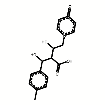 Cc1ccc(C(O)C(C(=O)O)C(O)Cn2ccc(=O)cc2)cc1